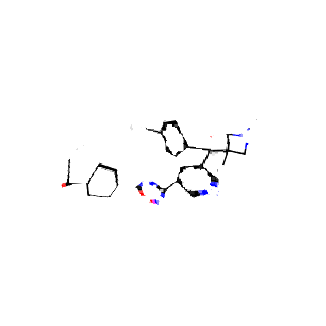 COC(=O)[C@H]1CC[C@H](c2nc(-c3cncc([C@@](O)(c4ccc(C(C)C)cc4)C4(C)CN(C)C4)c3)no2)CC1